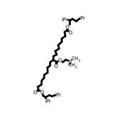 CC(C)CCC(COC(=O)CCCCCCCCCC(CCCCCCCCCC(=O)OCC(CCC(C)C)C(C)C)C(=O)OCCN(C)C)C(C)C